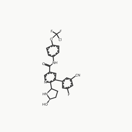 N#Cc1cc(F)cc(-c2cc(C(=O)Nc3ccc(OC(F)(F)Cl)cc3)cnc2C2CC[C@@H](O)N2)c1